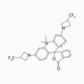 C[Si]1(C)c2cc(N3CC(C(F)(F)F)C3)ccc2C2(OC(=O)c3ccccc32)c2ccc(N3CC(C(F)(F)F)C3)cc21